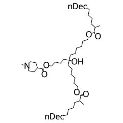 CCCCCCCCCCCCCCC(C)C(=O)OCCCCCCC(O)(CCCCCCOC(=O)C(C)CCCCCCCCCCCCCC)CCCCOC(=O)C1CCN(C)CC1